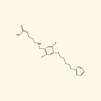 O=[PH](O)OCCCNCc1cc(F)c(SCCCCCc2ccccc2)cc1F